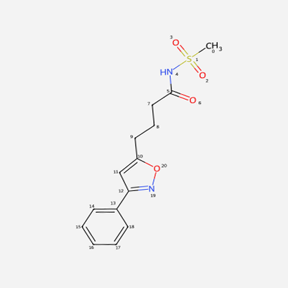 CS(=O)(=O)NC(=O)CCCc1cc(-c2ccccc2)no1